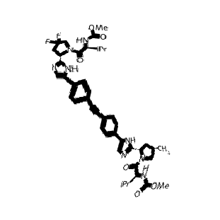 COC(=O)N[C@H](C(=O)N1C[C@@H](C)C[C@H]1c1ncc(-c2ccc(C#Cc3ccc(-c4cnc([C@@H]5CC(F)(F)CN5C(=O)[C@@H](NC(=O)OC)C(C)C)[nH]4)cc3)cc2)[nH]1)C(C)C